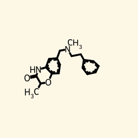 CC1Oc2ccc(CN(C)CCc3ccccc3)cc2NC1=O